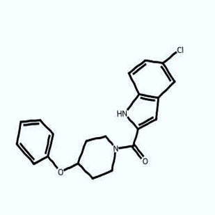 O=C(c1cc2cc(Cl)ccc2[nH]1)N1CCC(Oc2ccccc2)CC1